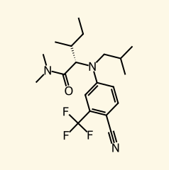 CCC(C)[C@@H](C(=O)N(C)C)N(CC(C)C)c1ccc(C#N)c(C(F)(F)F)c1